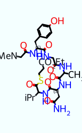 CCOC(=O)CCSC(=O)C(NC(=O)[C@H](CC(N)=O)NC(=O)C(C)NC(=O)CNC(=O)[C@H](Cc1ccc(O)cc1)NC(=O)CNC)C(C)C